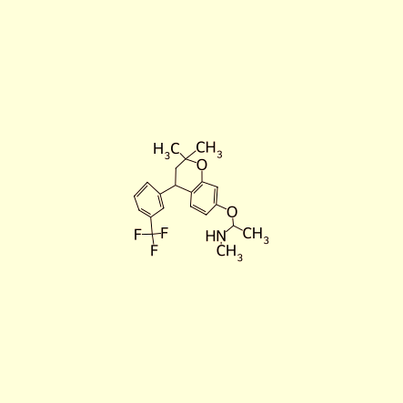 CNC(C)Oc1ccc2c(c1)OC(C)(C)CC2c1cccc(C(F)(F)F)c1